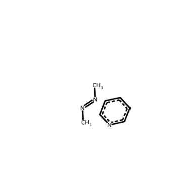 CN=NC.c1ccncc1